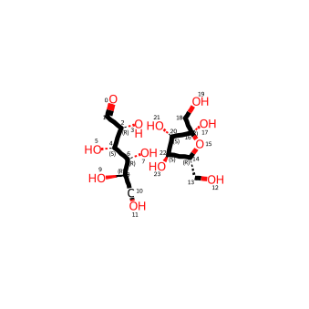 O=C[C@H](O)[C@@H](O)[C@H](O)[C@H](O)CO.OC[C@H]1O[C@](O)(CO)[C@@H](O)[C@@H]1O